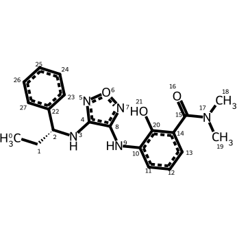 CC[C@@H](Nc1nonc1Nc1cccc(C(=O)N(C)C)c1O)c1ccccc1